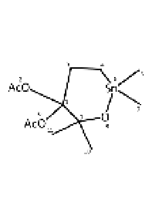 CC(=O)OC1(OC(C)=O)C[CH2][Sn]([CH3])([CH3])[O]C1(C)C